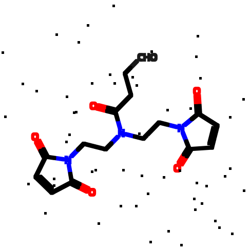 O=CCCC(=O)N(CCN1C(=O)C=CC1=O)CCN1C(=O)C=CC1=O